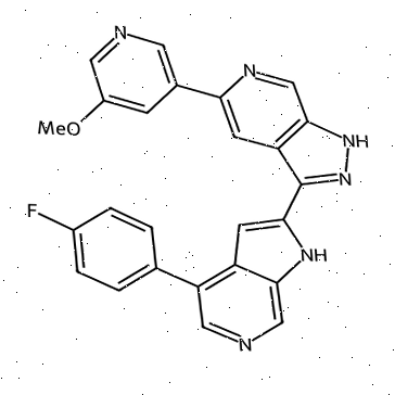 COc1cncc(-c2cc3c(-c4cc5c(-c6ccc(F)cc6)cncc5[nH]4)n[nH]c3cn2)c1